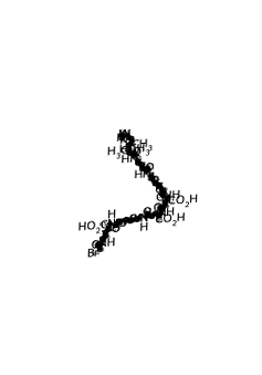 CC(Cc1nnn[nH]1)CC(C)(C)CC(=O)NSCCCC(=O)NCCOCCOCC(=O)NC(CCC(=O)NC(CCC(=O)NCCOCCOCC(=O)NC(CCCCNC(=O)CBr)C(=O)O)C(=O)O)C(=O)O